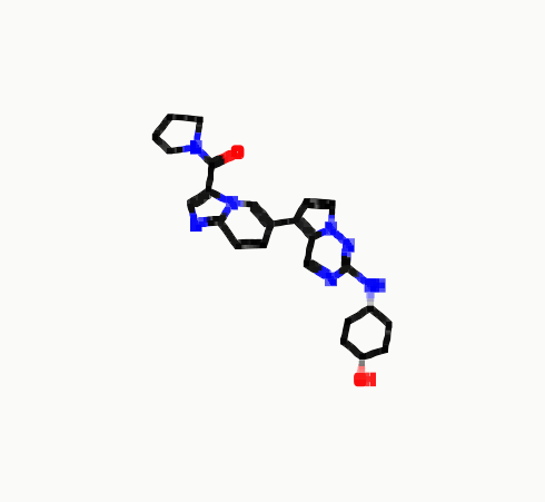 O=C(c1cnc2ccc(-c3ccn4nc(N[C@H]5CC[C@@H](O)CC5)ncc34)cn12)N1CCCC1